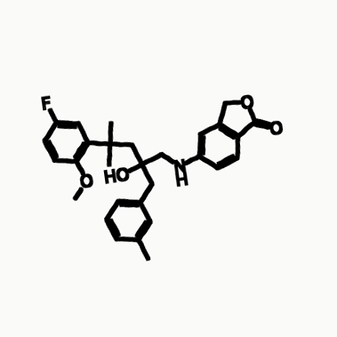 COc1ccc(F)cc1C(C)(C)CC(O)(CNc1ccc2c(c1)COC2=O)Cc1cccc(C)c1